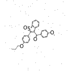 CCCOc1ccc(-c2c(C(=O)c3ccc(OC)cc3)c3ccccc3[s+]2[O-])cc1